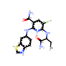 CC(C)CC(Nc1nc(Nc2ccc3ncsc3c2)c(C(N)=O)cc1F)C(N)=O